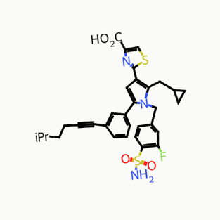 CC(C)CCC#Cc1cccc(-c2cc(-c3nc(C(=O)O)cs3)c(CC3CC3)n2Cc2ccc(S(N)(=O)=O)c(F)c2)c1